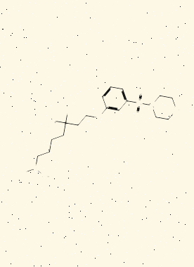 NC(CCCCB(O)O)(CCOc1cccc(S(=O)(=O)N2CCOCC2)c1)C(=O)O